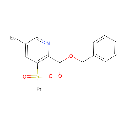 CCc1cnc(C(=O)OCc2ccccc2)c(S(=O)(=O)CC)c1